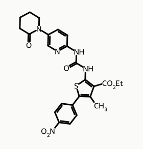 CCOC(=O)c1c(NC(=O)Nc2ccc(N3CCCCC3=O)cn2)sc(-c2ccc([N+](=O)[O-])cc2)c1C